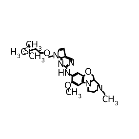 CCN1CCN2c3cc(OC)c(Nc4ncc5ccn(COCC[Si](C)(C)C)c5n4)cc3OCC2C1